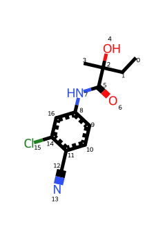 CCC(C)(O)C(=O)Nc1ccc(C#N)c(Cl)c1